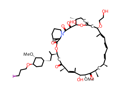 CO[C@@H]1C[C@H](CC(C)[C@@H]2CC(=O)[C@H](C)/C=C(\C)[C@@H](O)[C@@H](OC)C(=O)[C@H](C)C[C@H](C)/C=C/C=C/C=C(\C)[C@@H](OCCO)C[C@@H]3CC[C@@H](C)[C@@](O)(O3)C(=O)C(=O)N3CCCC[C@H]3C(=O)O2)CC[C@H]1OCCCI